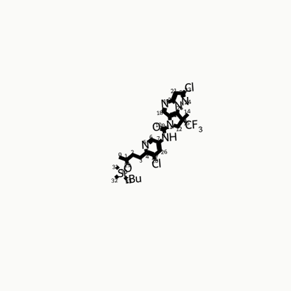 CC(CCc1ncc(NC(=O)N2C[C@@](C)(C(F)(F)F)c3c2cnc2cc(Cl)nn32)cc1Cl)O[Si](C)(C)C(C)(C)C